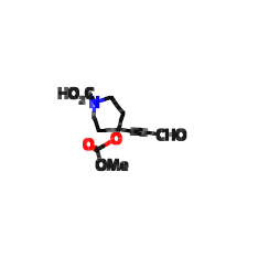 COC(=O)OC1(C#CC=O)CCN(C(=O)O)CC1